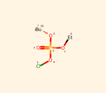 CCOP(=O)(OCl)O[C@@H](C)CC